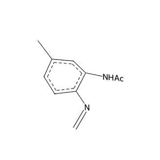 C=Nc1ccc(C)cc1NC(C)=O